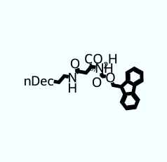 CCCCCCCCCCCCNC(=O)C[C@H](NC(=O)OCC1c2ccccc2-c2ccccc21)C(=O)O